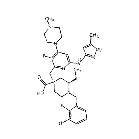 CC[C@@H]1C[C@](Cc2nc(Nc3cc(C)[nH]n3)cc(N3CCN(C)CC3)c2F)(C(=O)O)CCN1Cc1cccc(Cl)c1F